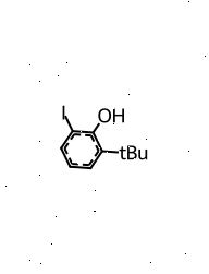 CC(C)(C)c1cccc(I)c1O